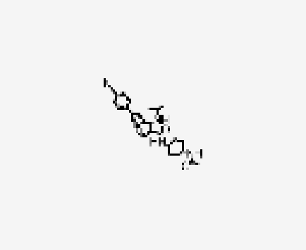 CC(=O)N[C@H]1CC[C@H](NC(=O)c2cnn3cc(-c4ccc(C#N)cc4)cc3c2NC(C)C)CC1